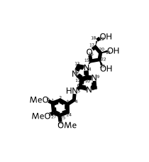 COc1cc(CNc2ncnc3c2ncn3[C@@H]2O[C@H](CO)[C@@H](O)[C@H]2O)cc(OC)c1OC